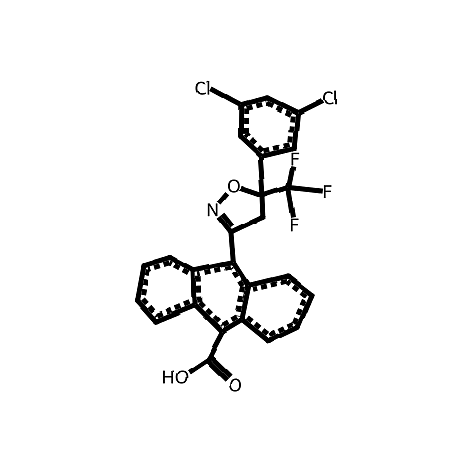 O=C(O)c1c2ccccc2c(C2=NOC(c3cc(Cl)cc(Cl)c3)(C(F)(F)F)C2)c2ccccc12